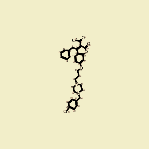 O=C(Cl)c1c(Cc2ccccc2)c2ccc(OCCCN3CCN(Cc4ccc(Cl)cc4)CC3)cc2oc1=O